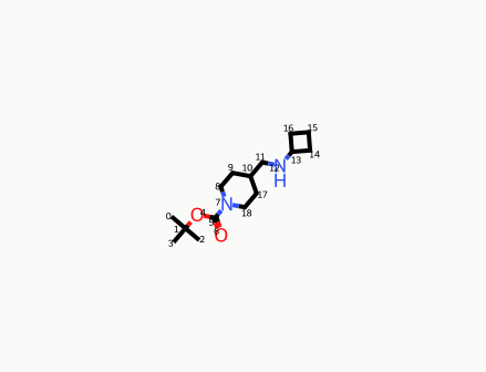 CC(C)(C)OC(=O)N1CCC(CNC2CCC2)CC1